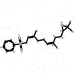 CC(=CCS(=O)(=O)c1ccccc1)CCC=C(C)CCC1OC1(C)C